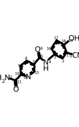 N#Cc1cc(NC(=O)c2ccc(C(N)=O)nc2)ccc1O